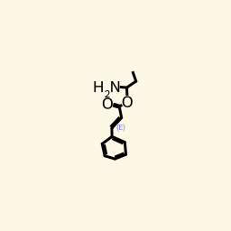 CCC(N)OC(=O)/C=C/c1ccccc1